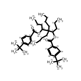 CCCCC(CCCC)(C(CCC)OC(=O)c1ccc(C(C)(C)C)cc1)C(CCC)OC(=O)c1ccc(C(C)(C)C)cc1